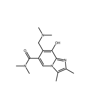 Cc1nc2c(O)c(CN(C)C)c(C(=O)N(C)C)cn2c1C